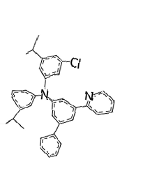 CC(C)c1cccc(N(c2cc(-c3ccccc3)cc(-c3ccccn3)c2)c2cc(Cl)cc(C(C)C)c2)c1